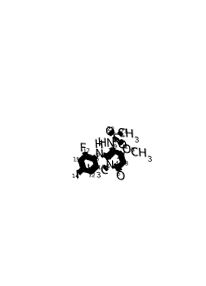 COc1cc(=O)n(C)c(Nc2ccc(I)cc2F)c1NS(C)(=O)=O